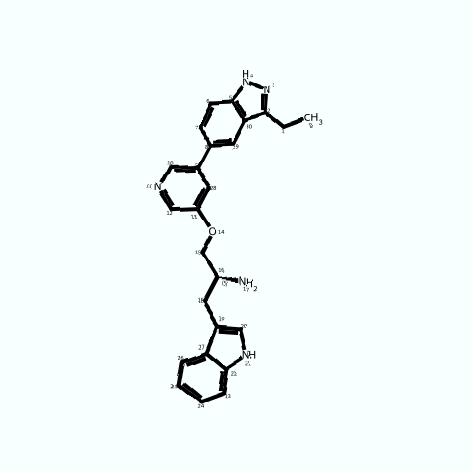 CCc1n[nH]c2ccc(-c3cncc(OC[C@@H](N)Cc4c[nH]c5ccccc45)c3)cc12